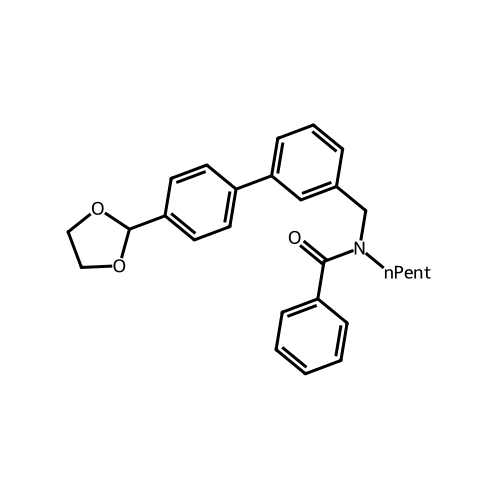 CCCCCN(Cc1cccc(-c2ccc(C3OCCO3)cc2)c1)C(=O)c1ccccc1